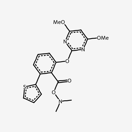 COc1cc(OC)nc(Oc2cccc(-c3cccs3)c2C(=O)ON(C)C)n1